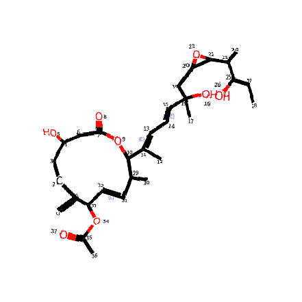 C=C1CCC(O)CC(=O)OC(/C(C)=C/C=C/C(C)(O)CC2OC2C(C)C(O)CC)C(C)/C=C/C1OC(C)=O